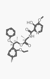 CCOc1cc(F)ccc1[C@@H](Oc1ccccc1)[C@H](C)OC(=O)[C@H](C)NC(=O)c1nccc(OC)c1O